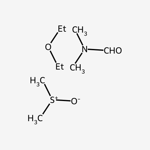 CCOCC.CN(C)C=O.C[S+](C)[O-]